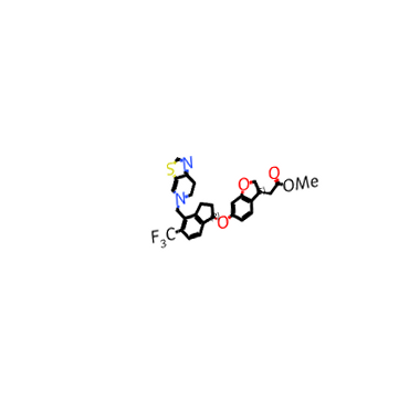 COC(=O)C[C@@H]1COc2cc(O[C@@H]3CCc4c3ccc(C(F)(F)F)c4CN3C=C4SCN=C4CC3)ccc21